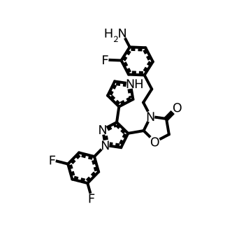 Nc1ccc(CCN2C(=O)COC2c2cn(-c3cc(F)cc(F)c3)nc2-c2cc[nH]c2)cc1F